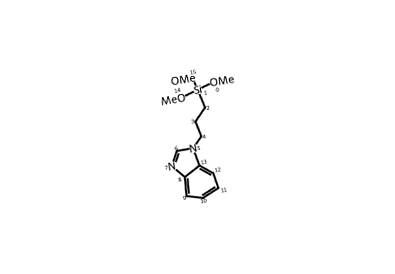 CO[Si](CCCn1cnc2ccccc21)(OC)OC